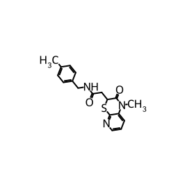 Cc1ccc(CNC(=O)CC2Sc3ncccc3N(C)C2=O)cc1